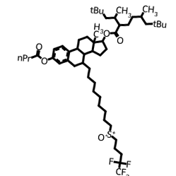 CCCC(=O)Oc1ccc2c(c1)CC(CCCCCCCCC[S+]([O-])CCCC(F)(F)C(F)(F)F)C1C2CCC2(C)C(OC(=O)C(CCC(C)CC(C)(C)C)C(C)CC(C)(C)C)CCC12